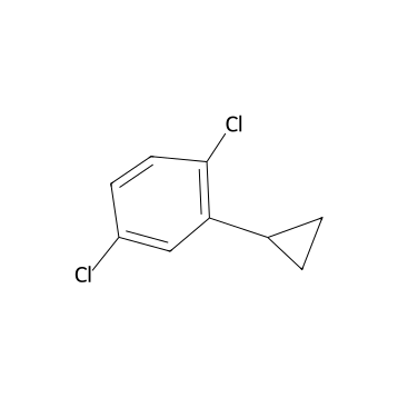 Clc1ccc(Cl)c(C2CC2)c1